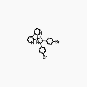 Brc1ccc(C2=NC3(N=C2c2ccc(Br)cc2)c2ncccc2-c2cccnc23)cc1